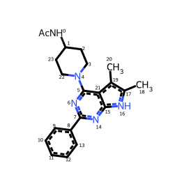 CC(=O)NC1CCN(c2nc(-c3ccccc3)nc3[nH]c(C)c(C)c23)CC1